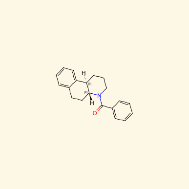 O=C(c1ccccc1)N1CCC[C@@H]2c3ccccc3CC[C@H]21